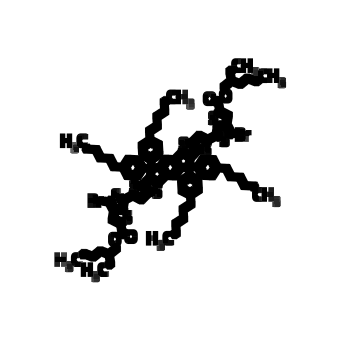 CCCCCCc1ccc(C2(c3ccc(CCCCCC)cc3)c3cc4c(cc3-c3sc5cc(-c6sc(Br)c7cc(C(=O)OCC(CC)CCCC)sc67)sc5c32)C(c2ccc(CCCCCC)cc2)(c2ccc(CCCCCC)cc2)c2c-4sc3cc(-c4sc(Br)c5cc(C(=O)OCC(CC)CCCC)sc45)sc23)cc1